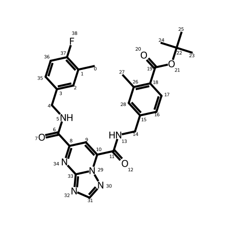 Cc1cc(CNC(=O)c2cc(C(=O)NCc3ccc(C(=O)OC(C)(C)C)c(C)c3)n3ncnc3n2)ccc1F